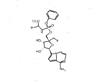 CC(C)C(NP(=O)(OC[C@@]1(CF)O[C@@H](c2ccc3c(N)ncnn23)[C@H](O)[C@@H]1O)Oc1ccccc1)C(=O)O